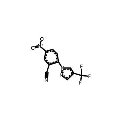 N#Cc1cc([N+](=O)[O-])ccc1-n1cc(C(F)(F)F)cn1